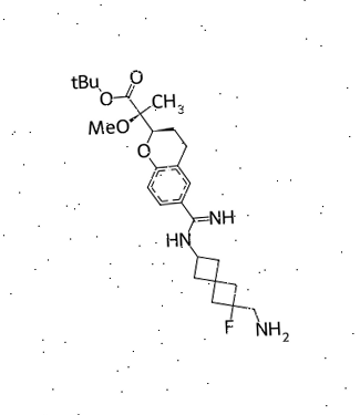 CO[C@](C)(C(=O)OC(C)(C)C)[C@H]1CCc2cc(C(=N)NC3CC4(C3)CC(F)(CN)C4)ccc2O1